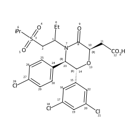 CCC(CS(=O)(=O)C(C)C)N1C(=O)[C@@H](CC(=O)O)O[C@H](c2cc(Cl)cc(Cl)c2)[C@H]1c1ccc(Cl)cc1